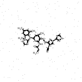 C=CC(=O)Nc1nc(N2C3=NC=NS3(C)c3cc(C)cc(C)c32)cc(C)c1N=Nc1nn(-c2ncns2)cc1C#N